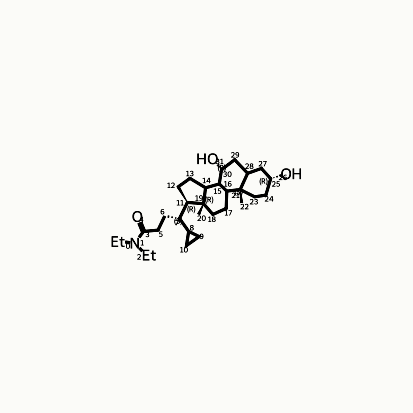 CCN(CC)C(=O)CC[C@@H](C1CC1)[C@H]1CCC2C3C(CC[C@@]21C)[C@@]1(C)CC[C@@H](O)CC1C[C@H]3O